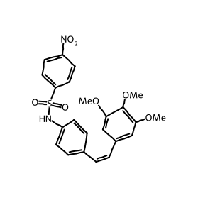 COc1cc(/C=C\c2ccc(NS(=O)(=O)c3ccc([N+](=O)[O-])cc3)cc2)cc(OC)c1OC